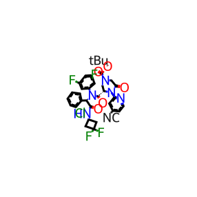 CC(C)(C)OC(=O)N1CC(=O)N(c2cc(C#N)ccn2)[C@H](C(=O)N(c2cc(F)cc(F)c2)[C@H](C(=O)NC2CC(F)(F)C2)c2ccccc2Cl)C1